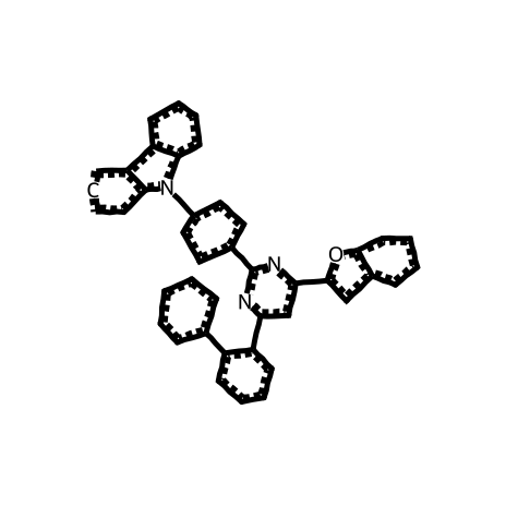 c1ccc(-c2ccccc2-c2cc(-c3cc4ccccc4o3)nc(-c3ccc(-n4c5ccccc5c5ccccc54)cc3)n2)cc1